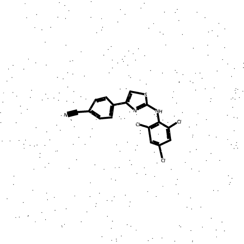 N#Cc1ccc(-c2csc(Nc3c(Cl)cc(Cl)cc3Cl)n2)cc1